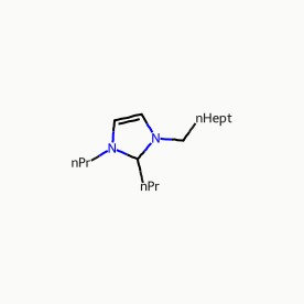 CCCCCCCCN1C=CN(CCC)C1CCC